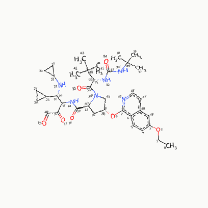 CCOc1ccc2c(O[C@@H]3C[C@@H](C(=O)NC(C(=O)C=O)[C@@H](NC4CC4)C4CC4)N(C(=O)[C@@H](NC(=O)NC(C)(C)C)C(C)(C)C)C3)nccc2c1